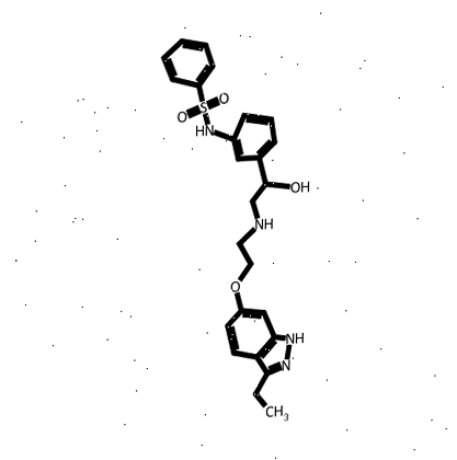 CCc1n[nH]c2cc(OCCNCC(O)c3cccc(NS(=O)(=O)c4ccccc4)c3)ccc12